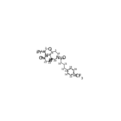 CC(C)[C@H]1COC2CCN(C(=O)CCCc3ccc(C(F)(F)F)cc3)C[C@H]3CCC(=O)N1C23